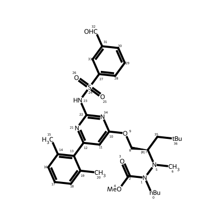 CCCCN(C(=O)OC)N(C)[C@@H](COc1cc(-c2c(C)cccc2C)nc(NS(=O)(=O)c2cccc(C=O)c2)n1)CC(C)(C)C